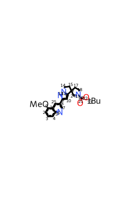 COc1cccc2ncc(-c3cc4n(n3)CCC43CCN(C(=O)OC(C)(C)C)C3)cc12